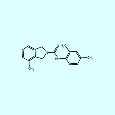 Cc1ccc(NC(=O)N2Cc3cccc(C)c3C2)c(C)c1